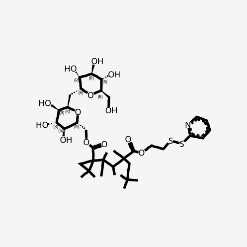 CC(C(C)(CC(C)(C)C)C(=O)OCCSSc1ccccn1)C(C)(C)C1(C(=O)OC[C@H]2O[C@H](C[C@H]3O[C@H](CO)[C@@H](O)[C@H](O)[C@H]3O)[C@H](O)[C@@H](O)[C@@H]2O)CC1(C)C